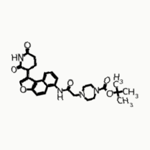 CC(C)(C)OC(=O)N1CCN(CC(=O)Nc2cccc3c2ccc2occ(C4CCC(=O)NC4=O)c23)CC1